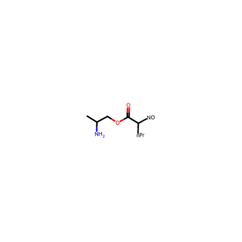 CCCC(N=O)C(=O)OCC(C)N